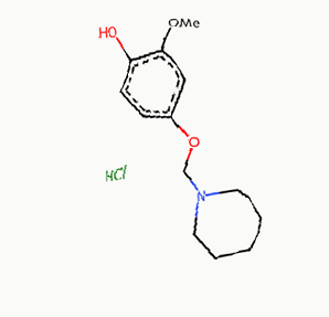 COc1cc(OCN2CCCCC2)ccc1O.Cl